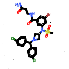 CS(=O)(=O)N(c1cc(Br)cc(C(=O)NCCC(N)=O)c1)C1CN(C(c2ccc(Cl)cc2)c2ccc(Cl)cc2)C1